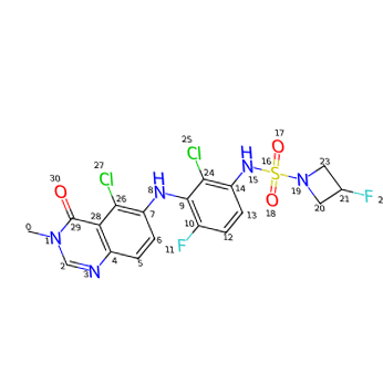 Cn1cnc2ccc(Nc3c(F)ccc(NS(=O)(=O)N4CC(F)C4)c3Cl)c(Cl)c2c1=O